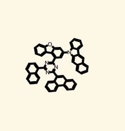 c1ccc2cc3c(cc2c1)c1ccccc1n3-c1cc(-c2nc(-c3cccc4ccccc34)nc(-c3cc4ccccc4c4ccccc34)n2)c2c(c1)oc1ccccc12